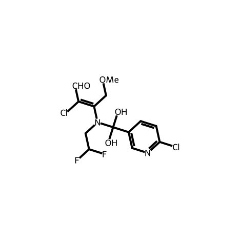 COC/C(=C(/Cl)C=O)N(CC(F)F)C(O)(O)c1ccc(Cl)nc1